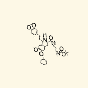 COc1cc2c(cc1OCc1ccccc1)CC(C(=O)N(C)CCCN(C)C(=O)OC(C)(C)C)NC2/C=C/c1cc2c(cc1C)OCO2